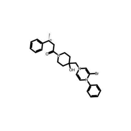 C[C@H](CC(=O)N1CCC(O)(CN2C=CN(c3ccccc3)C(Br)=C2)CC1)c1ccccc1